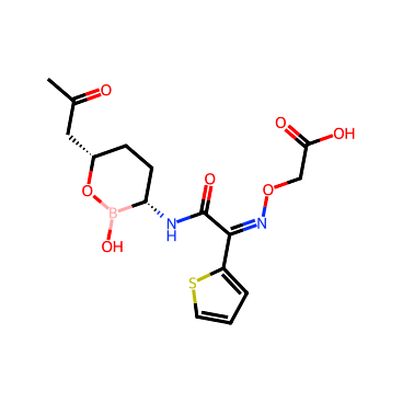 CC(=O)C[C@@H]1CC[C@H](NC(=O)/C(=N\OCC(=O)O)c2cccs2)B(O)O1